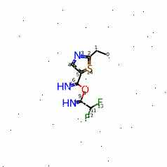 CCc1ncc(C(=N)OC(=N)C(F)F)s1